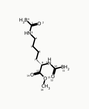 BC(=O)NCCCC[C@H](NC(B)=O)C(=O)OC